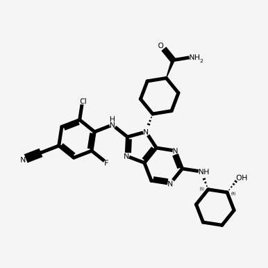 N#Cc1cc(F)c(Nc2nc3cnc(N[C@H]4CCCC[C@H]4O)nc3n2[C@H]2CC[C@H](C(N)=O)CC2)c(Cl)c1